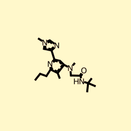 CCCc1nc(-c2cn(C)cn2)cc(N(C)CC(=O)NC(C)(C)C)c1C